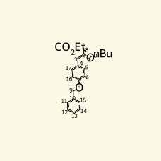 CCCCOC(=Cc1ccc(OCc2ccccc2)cc1)C(=O)OCC